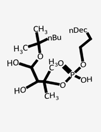 CCCCCCCCCCCCOP(=O)(O)OC(C)(C)C(O)C(O)OC(C)(C)CCCC